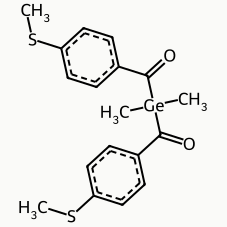 CSc1ccc([C](=O)[Ge]([CH3])([CH3])[C](=O)c2ccc(SC)cc2)cc1